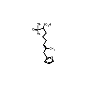 C/C(=C\CCCC(P(=O)(O)O)S(=O)(=O)O)Cc1cccs1